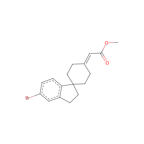 COC(=O)C=C1CCC2(CC1)CCc1cc(Br)ccc12